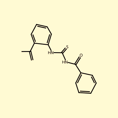 C=C(C)c1ccccc1NC(=S)NC(=O)c1ccccc1